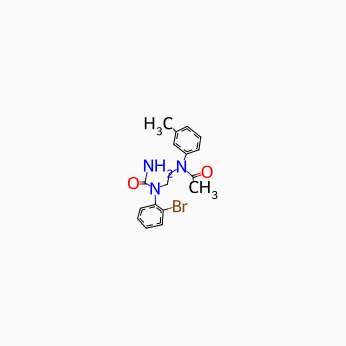 CC(=O)N(CCN(C(N)=O)c1ccccc1Br)c1cccc(C)c1